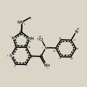 CNc1nc2nccc(C(=N)N(O)c3cccc(Br)c3)c2[nH]1